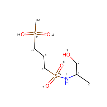 CC(CO)NS(=O)(=O)CCCS(C)(=O)=O